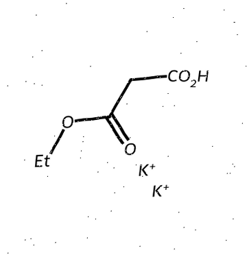 CCOC(=O)CC(=O)O.[K+].[K+]